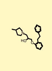 CC1CCN(CC(O)COc2ccccc2CCc2ccccc2)CC1